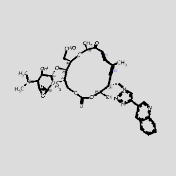 CC[C@H]1OC(=O)CC[C@H](C)[C@@H](O[C@@H]2O[C@@H]3OC3C(N(C)C)C2O)[C@@H](CC=O)C[C@@H](C)C(=O)/C=C/C(C)=C/[C@@H]1Cn1cc(-c2cnc3ccccc3c2)nn1